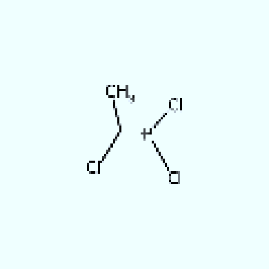 CCCl.Cl[P]Cl